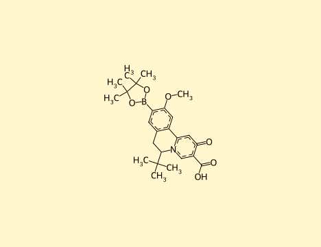 COc1cc2c(cc1B1OC(C)(C)C(C)(C)O1)CC(C(C)(C)C)n1cc(C(=O)O)c(=O)cc1-2